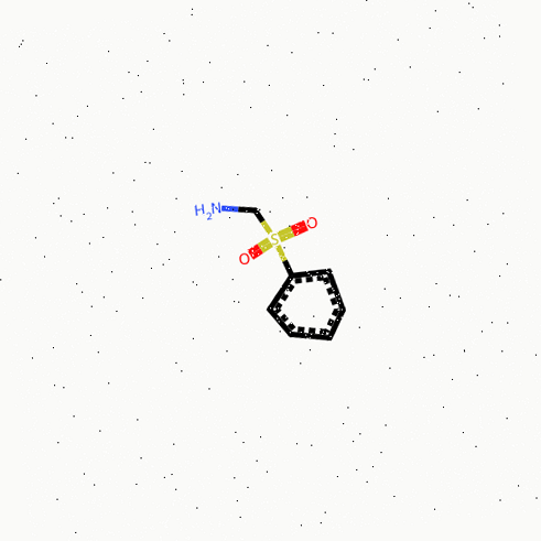 N[CH]S(=O)(=O)c1ccccc1